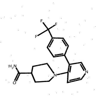 NC(=O)C1CCN(c2ccncc2-c2ccc(C(F)(F)F)cc2)CC1